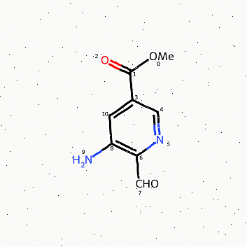 COC(=O)c1cnc(C=O)c(N)c1